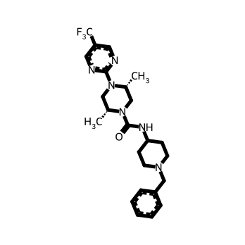 C[C@@H]1CN(c2ncc(C(F)(F)F)cn2)[C@H](C)CN1C(=O)NC1CCN(Cc2ccccc2)CC1